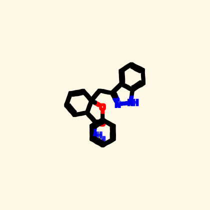 NC(=O)C1C=CC=CC1(Cc1n[nH]c2ccccc12)Oc1ccccc1